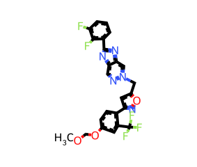 COCOc1ccc(-c2cc(Cn3cc4nc(-c5cccc(F)c5F)nc-4cn3)on2)c(C(F)(F)F)c1